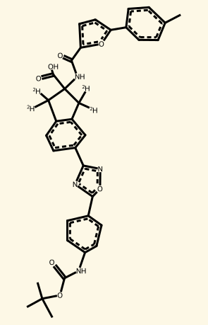 [2H]C1([2H])c2ccc(-c3noc(-c4ccc(NC(=O)OC(C)(C)C)cc4)n3)cc2C([2H])([2H])C1(NC(=O)c1ccc(-c2ccc(C)cc2)o1)C(=O)O